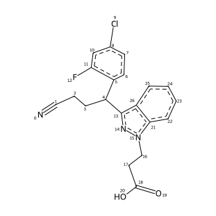 N#CCCC(c1ccc(Cl)cc1F)c1nn(CCC(=O)O)c2ccccc12